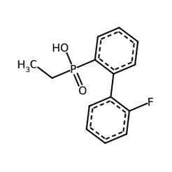 CCP(=O)(O)c1ccccc1-c1ccccc1F